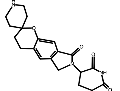 O=C1CCC(N2Cc3cc4c(cc3C2=O)OC2(CCNCC2)CC4)C(=O)N1